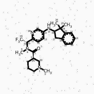 CN1CCC[C@@H](C(=O)N(C)[C@@H](c2ccc(NC3Cc4ccccc4C3(C)C)cn2)C(F)(F)F)C1